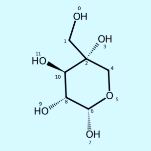 OC[C@@]1(O)CO[C@H](O)[C@H](O)[C@H]1O